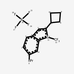 CCCc1ccc2cc(C3CCC3)[s+](C(F)(F)F)c2c1.F[B-](F)(F)F